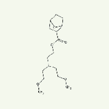 COCCN(CCOC)CCOC(=O)C1CC2CCC1O2